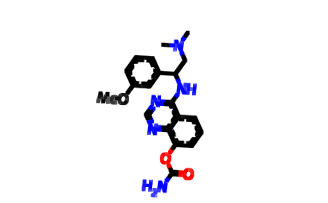 COc1cccc(C(CN(C)C)Nc2ncnc3c(OC(N)=O)cccc23)c1